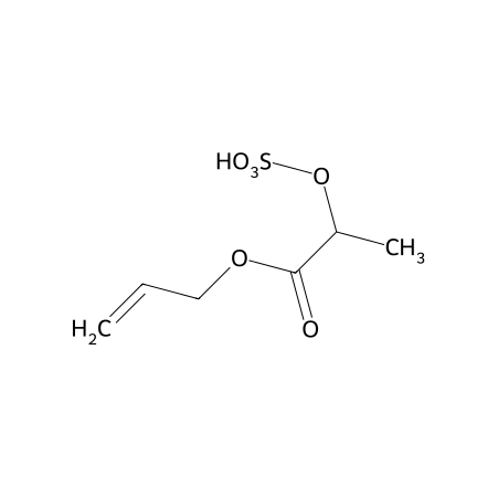 C=CCOC(=O)C(C)OS(=O)(=O)O